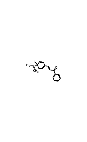 CN(C)C1(I)C=CC(C=CC(=O)c2ccccc2)=CC1